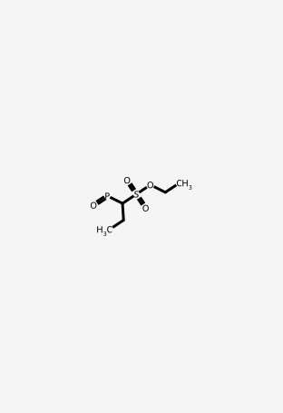 CCOS(=O)(=O)C(CC)P=O